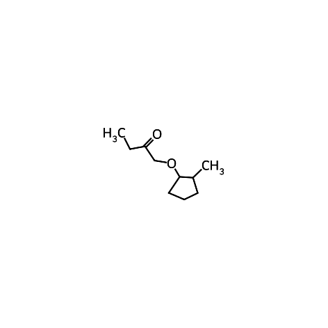 CCC(=O)COC1CCCC1C